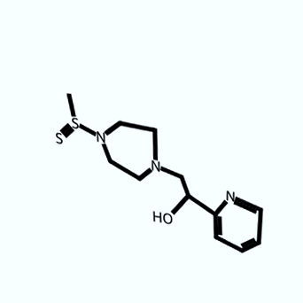 CS(=S)N1CCN(CC(O)c2ccccn2)CC1